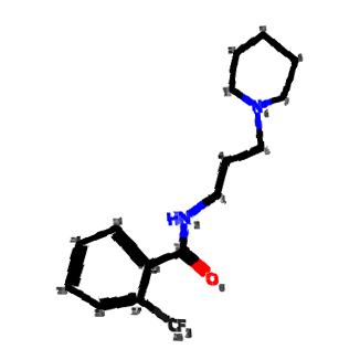 O=C(NCCCN1CCCCC1)c1ccccc1C(F)(F)F